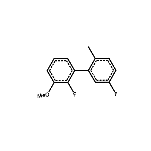 COc1cccc(-c2cc(F)ccc2C)c1F